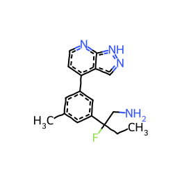 CCC(F)(CN)c1cc(C)cc(-c2ccnc3[nH]ncc23)c1